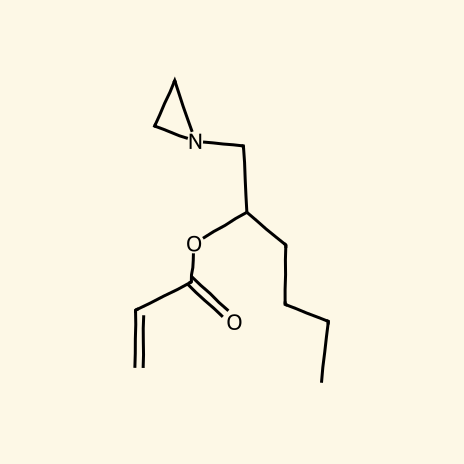 C=CC(=O)OC(CCCC)CN1CC1